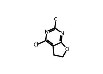 Clc1nc(Cl)c2c(n1)OCC2